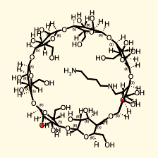 NCCCCNC[C@H]1O[C@@H]2O[C@H]3[C@H](O)[C@@H](O)[C@@H](O[C@H]4[C@H](O)[C@@H](O)[C@@H](O[C@H]5[C@H](O)[C@@H](O)[C@@H](O[C@H]6[C@H](O)[C@@H](O)[C@@H](O[C@H]7[C@H](O)[C@@H](O)[C@@H](O[C@H]8[C@H](O)[C@@H](O)[C@@H](O[C@H]1[C@H](O)[C@H]2O)O[C@@H]8CO)O[C@@H]7CO)O[C@@H]6CO)O[C@@H]5CO)O[C@@H]4CO)O[C@@H]3CO